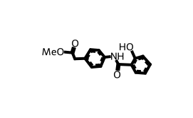 COC(=O)Cc1ccc(NC(=O)c2ccccc2O)cc1